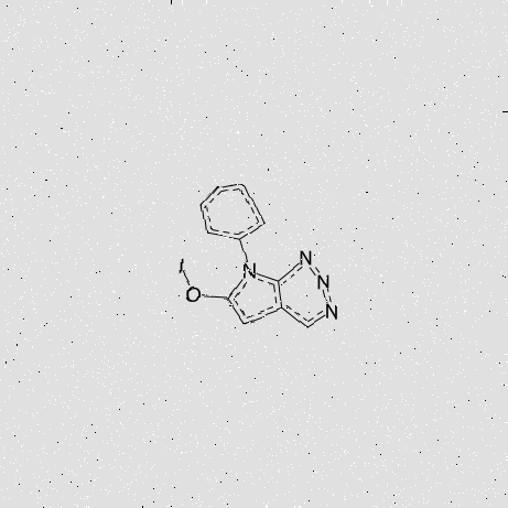 IOc1cc2cnnnc2n1-c1ccccc1